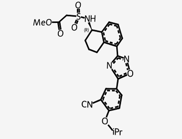 [C-]#[N+]c1cc(-c2nc(-c3cccc4c3CCC[C@H]4NS(=O)(=O)CC(=O)OC)no2)ccc1OC(C)C